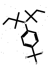 CCC(C)(C)P(c1ccc(C(F)(F)F)cc1)C(C)(C)CC